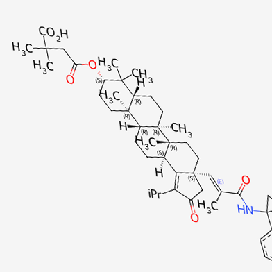 C/C(=C\[C@@]12CC[C@]3(C)[C@H](CC[C@@H]4[C@@]5(C)CC[C@H](OC(=O)CC(C)(C)C(=O)O)C(C)(C)[C@@H]5CC[C@]43C)C1=C(C(C)C)C(=O)C2)C(=O)NC1(c2ccc(Cl)cc2)CC1